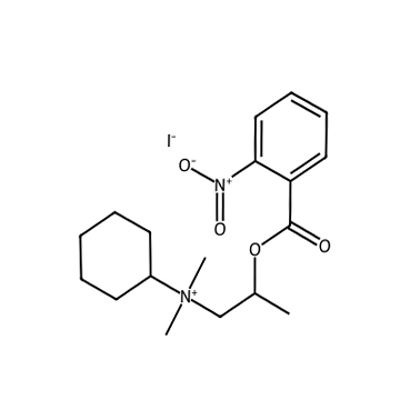 CC(C[N+](C)(C)C1CCCCC1)OC(=O)c1ccccc1[N+](=O)[O-].[I-]